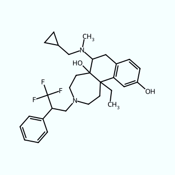 CCC12CCN(CC(c3ccccc3)C(F)(F)F)CCC1(O)C(N(C)CC1CC1)Cc1ccc(O)cc12